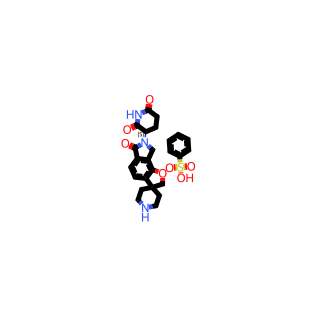 O=C1CC[C@H](N2Cc3c(ccc4c3OCC43CCNCC3)C2=O)C(=O)N1.O=S(=O)(O)c1ccccc1